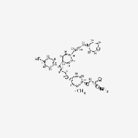 Cc1cc(OC/C=C(/c2ccc(F)cc2)c2ccc(C#CCN3CCOCC3)cc2)ccc1OCC(=O)ON